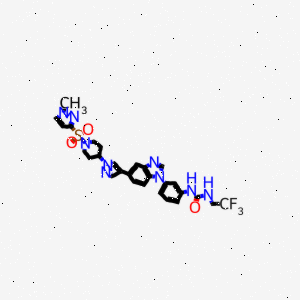 Cn1ccc(S(=O)(=O)N2CCC(n3cc(-c4ccc5c(c4)ncn5-c4cccc(NC(=O)NCC(F)(F)F)c4)cn3)CC2)n1